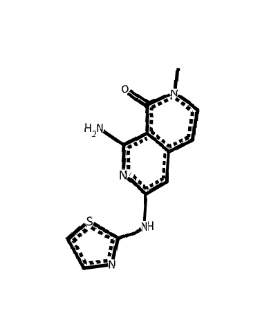 Cn1ccc2cc(Nc3nccs3)nc(N)c2c1=O